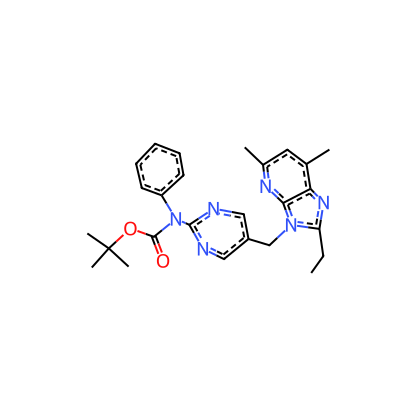 CCc1nc2c(C)cc(C)nc2n1Cc1cnc(N(C(=O)OC(C)(C)C)c2ccccc2)nc1